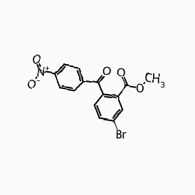 COC(=O)c1cc(Br)ccc1C(=O)c1ccc([N+](=O)[O-])cc1